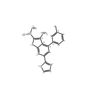 CCCC[S+]([O-])c1sc2nc(-c3nccs3)cc(-c3cccc(C)c3)c2c1N